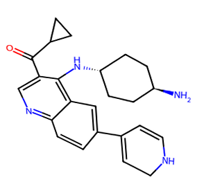 N[C@H]1CC[C@H](Nc2c(C(=O)C3CC3)cnc3ccc(C4=CCNC=C4)cc23)CC1